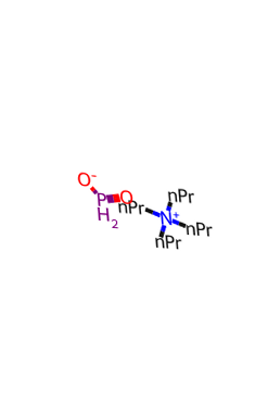 CCC[N+](CCC)(CCC)CCC.O=[PH2][O-]